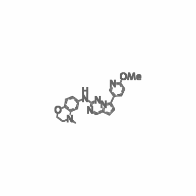 COc1ccc(-c2ccc3cnc(Nc4ccc5c(c4)N(C)CCO5)nn23)cn1